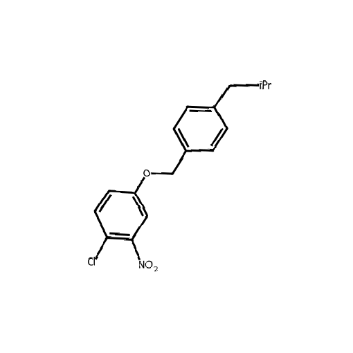 CC(C)Cc1ccc(COc2ccc(Cl)c([N+](=O)[O-])c2)cc1